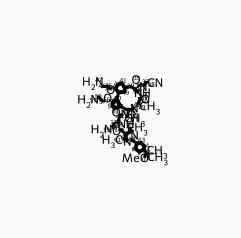 COC(C)(C)c1ccc(-c2nc(C)c(C(=O)N[C@@H](CCN)C(=O)N(C)[C@@H]3C(=O)N[C@@H](C)C(=O)N[C@H](C(=O)NCC#N)Cc4ccc(OCCN)c(c4)-c4cc3ccc4OCCN)c(C)n2)cc1